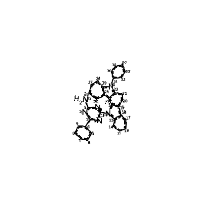 Nc1nc(-c2ccccc2)nc(-n2c3ccccc3c3ccc4c(c5ccccc5n4-c4ccccc4)c32)n1